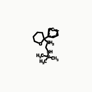 C[Si](C)(C)NC[SiH2]C1(c2cc[c]cc2)CCCCO1